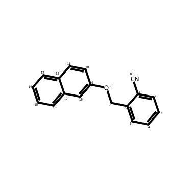 N#Cc1ccccc1COc1ccc2ccccc2c1